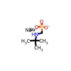 CC(C)(C)NCP(=O)([O-])[O-].[Na+].[Na+]